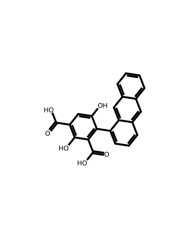 O=C(O)c1cc(O)c(-c2cccc3cc4ccccc4cc23)c(C(=O)O)c1O